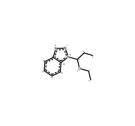 CCOC(CC)n1nnc2ccccc21